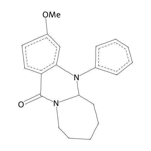 COc1ccc2c(c1)N(c1ccccc1)C1CCCCCN1C2=O